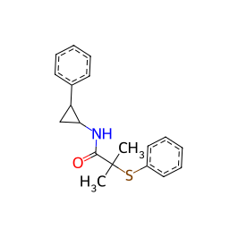 CC(C)(Sc1ccccc1)C(=O)NC1CC1c1ccccc1